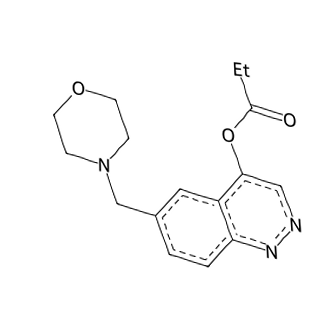 CCC(=O)Oc1cnnc2ccc(CN3CCOCC3)cc12